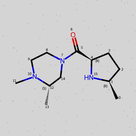 C[C@@H]1CC[C@H](C(=O)N2CCN(C)[C@@H](C)C2)N1